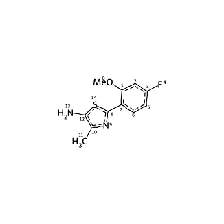 COc1cc(F)ccc1-c1nc(C)c(N)s1